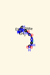 CC[C@@H]1c2nnc(C)n2-c2cnc(Nc3ccc(C(=O)NC4CCN(C(=O)CCN5CCN(c6ccc(NC7CCC(=O)NC7=O)cc6F)CC5)CC4)cc3OC)nc2N1CC1CCCCC1